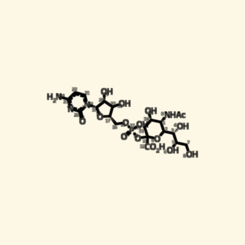 CC(=O)N[C@H]1C([C@H](O)[C@H](O)CO)OC(OP(=O)(O)OC[C@H]2O[C@@H](n3ccc(N)nc3=O)[C@@H](O)C2O)(C(=O)O)C[C@H]1O